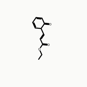 CCOC(=O)C=CC1C=CC=CC1=O